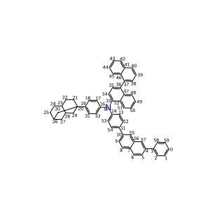 c1ccc(-c2ccc3ccc(-c4ccc(N(c5ccc(C67CCC8CCC(CC8C6)C7)cc5)c5ccc(-c6cccc7ccccc67)c6ccccc56)cc4)cc3c2)cc1